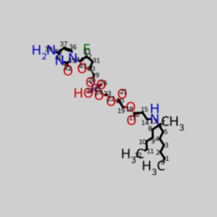 CCCCCCC(C)(CCCCC)NCCC(=O)OCC(=O)OCOP(=O)(O)OC[C@@H]1C[C@H](F)[C@H](n2ccc(N)nc2=O)O1